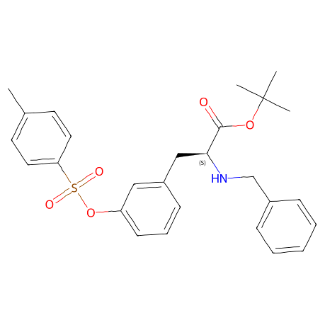 Cc1ccc(S(=O)(=O)Oc2cccc(C[C@H](NCc3ccccc3)C(=O)OC(C)(C)C)c2)cc1